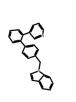 c1cncc(-c2ccccc2-c2ccc(Cn3ccc4ccccc43)cc2)c1